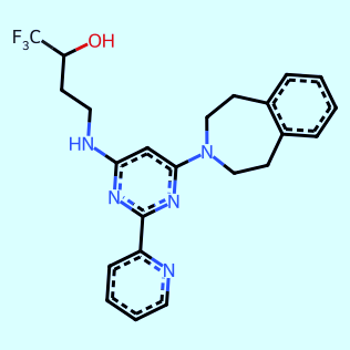 OC(CCNc1cc(N2CCc3ccccc3CC2)nc(-c2ccccn2)n1)C(F)(F)F